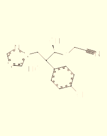 C[C@@H](SCC#N)[C@](O)(Cn1cncn1)c1ccc(Cl)cc1